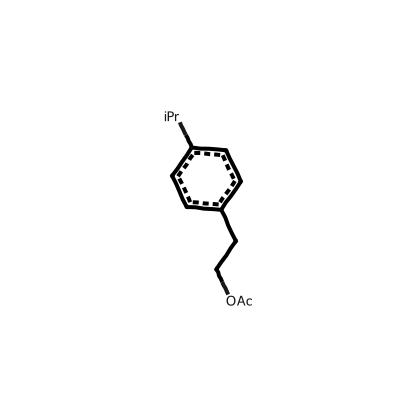 CC(=O)OCCc1ccc(C(C)C)cc1